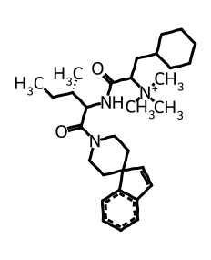 CC[C@H](C)C(NC(=O)C(CC1CCCCC1)[N+](C)(C)C)C(=O)N1CCC2(C=Cc3ccccc32)CC1